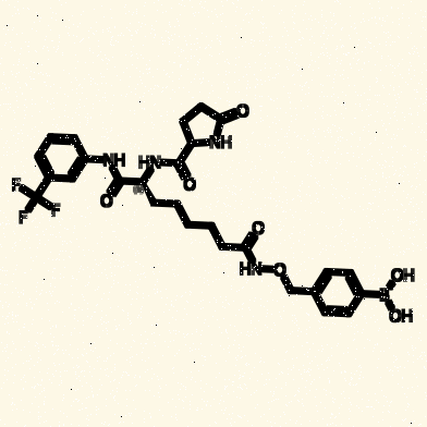 O=C(CCCCC[C@H](NC(=O)C1CCC(=O)N1)C(=O)Nc1cccc(C(F)(F)F)c1)NOCc1ccc(B(O)O)cc1